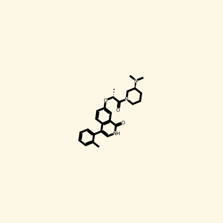 Cc1ccccc1-c1c[nH]c(=O)c2cc(O[C@H](C)C(=O)N3CCC[C@H](N(C)C)C3)ccc12